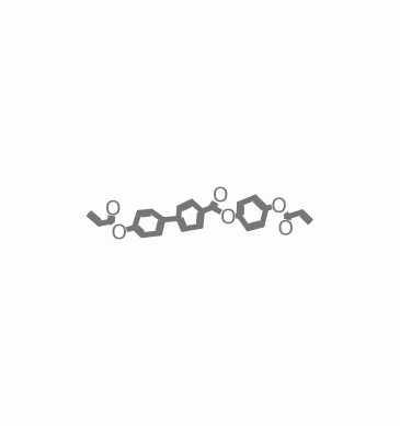 C=CC(=O)Oc1ccc(OC(=O)c2ccc(-c3ccc(OC(=O)C=C)cc3)cc2)cc1